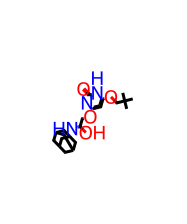 CC(C)(C)COc1cc(OCC(O)NC23CC4CC(CC(C4)C2)C3)nc(=O)[nH]1